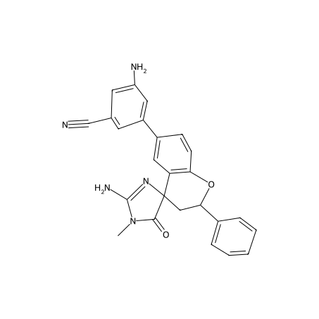 CN1C(=O)C2(CC(c3ccccc3)Oc3ccc(-c4cc(N)cc(C#N)c4)cc32)N=C1N